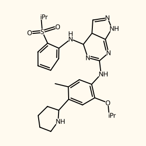 Cc1cc(NC2=NC(Nc3ccccc3S(=O)(=O)C(C)C)C3C=NNC3=N2)c(OC(C)C)cc1C1CCCCN1